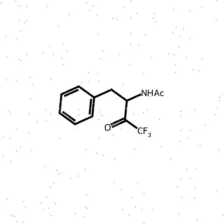 CC(=O)NC(Cc1ccccc1)C(=O)C(F)(F)F